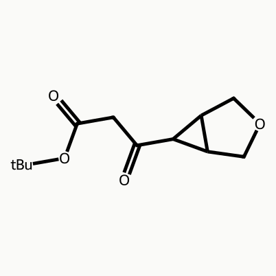 CC(C)(C)OC(=O)CC(=O)C1C2COCC21